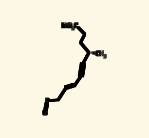 CCOC(=O)CC[C@H](C)C#C/C=C/CP=O